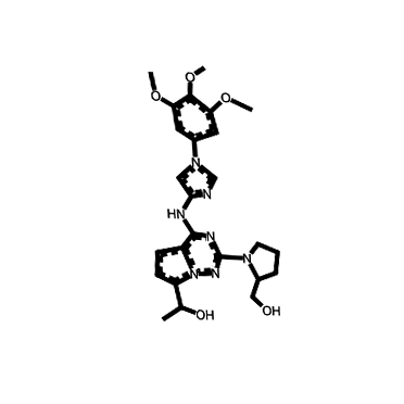 COc1cc(-n2cnc(Nc3nc(N4CCCC4CO)nn4c(C(C)O)ccc34)c2)cc(OC)c1OC